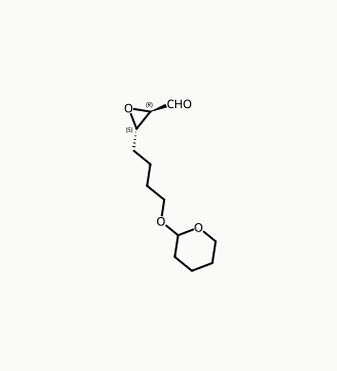 O=C[C@@H]1O[C@H]1CCCCOC1CCCCO1